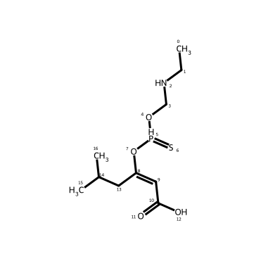 CCNCO[PH](=S)OC(=CC(=O)O)CC(C)C